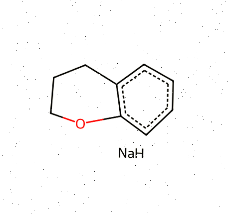 [NaH].c1ccc2c(c1)CCCO2